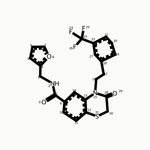 O=C(NCc1ccco1)c1ccc2c(c1)N(CCc1cccc(C(F)(F)F)c1)C(=O)CS2